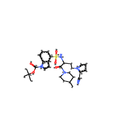 CC1CCN(C(=O)C(CCn2cccc2C#N)NS(=O)(=O)c2cccc3c2ccn3C(=O)OC(C)(C)C)CC1